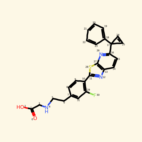 O=C(O)CNCCc1ccc(-c2nc3ccc(C4(c5ccccc5)C=C4)nc3s2)c(F)c1